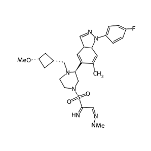 CN/N=C\C(=N)S(=O)(=O)N1CCN(C[C@H]2C[C@@H](OC)C2)[C@@H](C2=CC3C=NN(c4ccc(F)cc4)C3C=C2C)C1